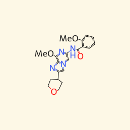 COc1ccccc1C(=O)Nc1cn2cc(C3CCOCC3)nc2c(OC)n1